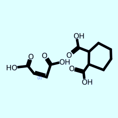 O=C(O)/C=C\C(=O)O.O=C(O)C1CCCCC1C(=O)O